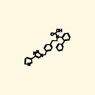 O=C(O)N(CCc1ccc(Cn2cc(-c3cccnc3)nn2)cc1)c1ccccc1-c1ccccc1